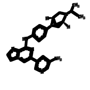 CC(C)N1C[C@H]2C[C@@H]1CN2c1ccc(Nc2nc(-c3cncc(N)c3)cn3ccnc23)cc1